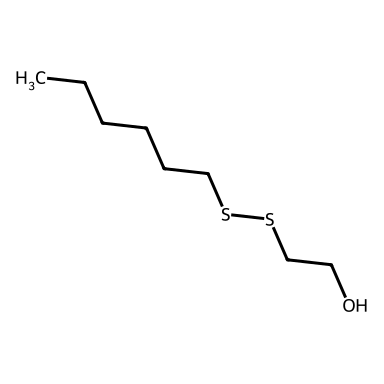 CCCCCCSSCCO